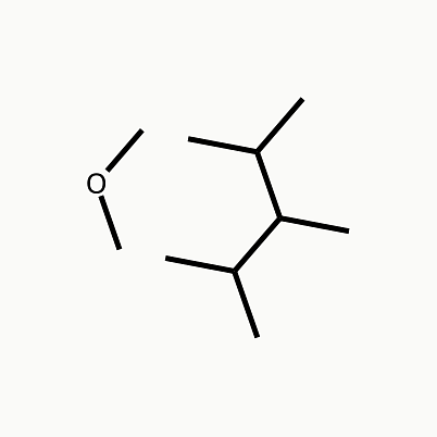 CC(C)C(C)C(C)C.COC